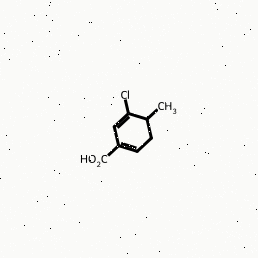 CC1CC=C(C(=O)O)C=C1Cl